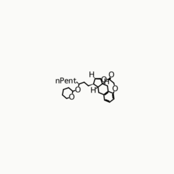 CCCCC[C@@H](CC[C@@H]1[C@H]2Cc3cccc4c3C[C@H]2C[C@H]1OC(=O)CO4)OC1CCCCO1